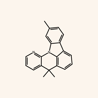 Cc1ccc2c3cccc4c3n(c2c1)-c1ncccc1C4(C)C